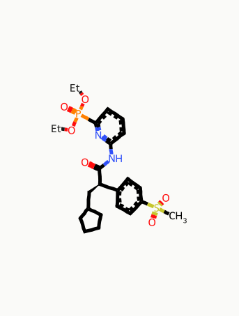 CCOP(=O)(OCC)c1cccc(NC(=O)[C@H](CC2CCCC2)c2ccc(S(C)(=O)=O)cc2)n1